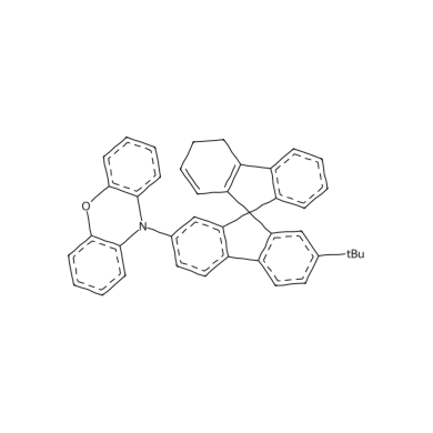 CC(C)(C)c1ccc2c(c1)C1(C3=C(CCC=C3)c3ccccc31)c1cc(N3c4ccccc4Oc4ccccc43)ccc1-2